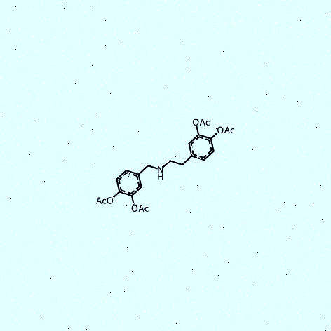 CC(=O)Oc1ccc(CCNCc2ccc(OC(C)=O)c(OC(C)=O)c2)cc1OC(C)=O